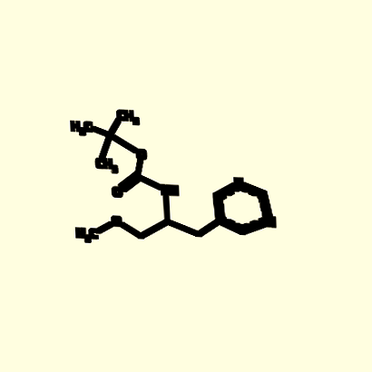 COCC(Cc1cncnc1)NC(=O)OC(C)(C)C